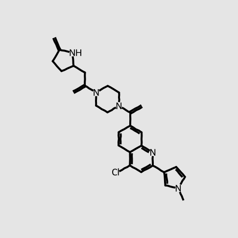 C=C1CCC(CC(=C)N2CCN(C(=C)c3ccc4c(Cl)cc(-c5ccn(C)c5)nc4c3)CC2)N1